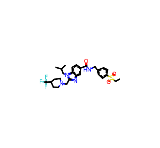 CCS(=O)(=O)c1ccc(CNC(=O)c2ccc3c(c2)nc(CN2CCC(C(F)(F)F)CC2)n3CC(C)C)cc1